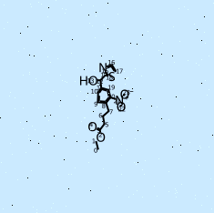 CCOC(=O)CCCc1ccc(C(O)c2nccs2)cc1[N+](=O)[O-]